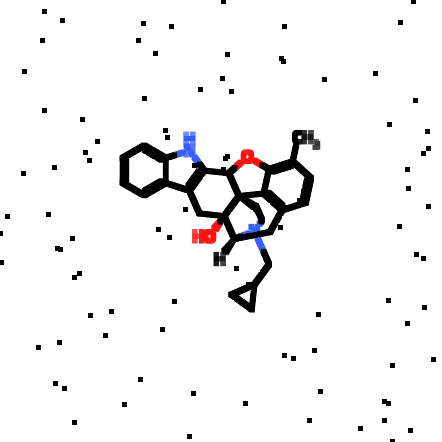 Cc1ccc2c3c1OC1c4[nH]c5ccccc5c4C[C@@]4(O)[C@@H](C2)N(CC2CC2)CC[C@]314